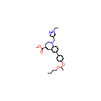 CCCCOC(C)Oc1ccc(-c2ccc3c(c2)C=C(C(=O)OC)CCN3Cc2cnn(CC)c2)cc1